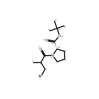 CC(CBr)C(=O)N1CCC[C@H]1C(=O)OC(C)(C)C